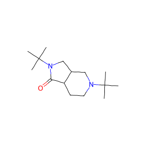 CC(C)(C)N1CCC2C(=O)N(C(C)(C)C)CC2C1